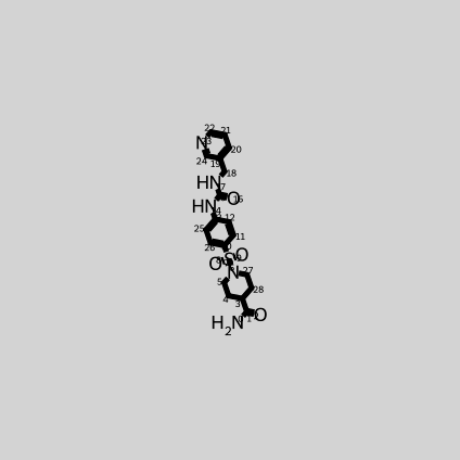 NC(=O)C1CCN(S(=O)(=O)c2ccc(NC(=O)NCc3cccnc3)cc2)CC1